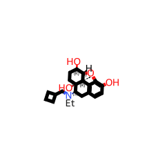 CCN(CC1CCC1)[C@H]1Cc2ccc(O)c3c2[C@]2(C)[C@H](O3)[C@H](O)CC[C@]12O